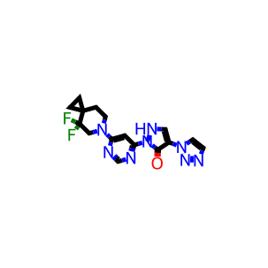 O=c1c(-n2ccnn2)c[nH]n1-c1cc(N2CCC3(CC3)C(F)(F)C2)ncn1